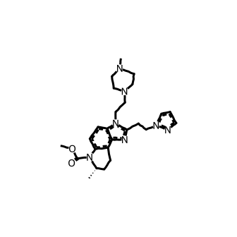 COC(=O)N1c2ccc3c(nc(CCn4cccn4)n3CCN3CCN(C)CC3)c2CC[C@@H]1C